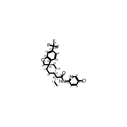 CC[C@@H](C(=O)Nc1ccc(Cl)cn1)[C@H]1CC[C@@]2(CC1)COc1cc(C(F)(F)F)ccc12